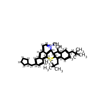 Cc1c2c(c(CC(C)(C)C)c3ccc(CC(C)(C)C)cc13)Sc1c3ccc(CC4CCCC4)cc3cc3cc[n+](C)c-2c13